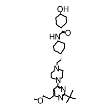 COCCc1cc(N2CCN(CC[C@H]3CC[C@H](NC(=O)[C@H]4CC[C@H](O)CC4)CC3)CC2)nc(C(C)(C)C)n1